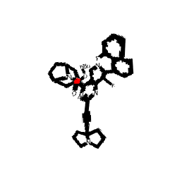 CCCCOC(=O)N1C2CCC1CN(c1nc(C#CC34CCCN3CCC4)nc3c(F)c(-c4cccc5cccc(F)c45)ncc13)C2